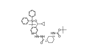 CC(C)(C)OC(=O)N[C@@H]1CCC[C@H](C(=O)NNc2cc(C(O[Si](c3ccccc3)(c3ccccc3)C(C)(C)C)C3CC3)ccn2)C1